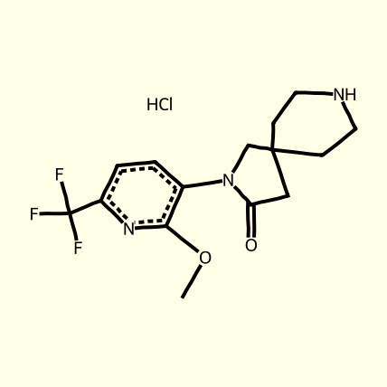 COc1nc(C(F)(F)F)ccc1N1CC2(CCNCC2)CC1=O.Cl